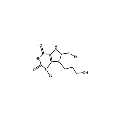 CCOC1Nc2c(n(CC)c(=O)[nH]c2=O)N1CCCO